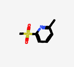 Cc1cccc(S(C)(=O)=O)n1